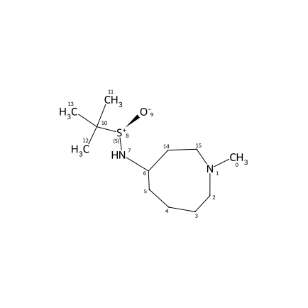 CN1CCCCC(N[S@+]([O-])C(C)(C)C)CC1